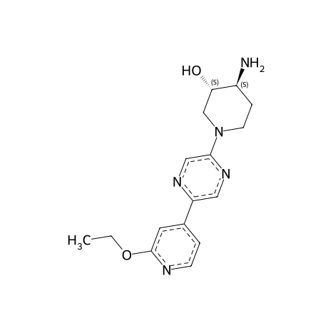 CCOc1cc(-c2cnc(N3CC[C@H](N)[C@@H](O)C3)cn2)ccn1